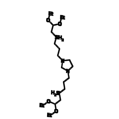 CCOC(C[SiH2]CCCN1CCN(CCC[SiH2]CC(OCC)OCC)C1)OCC